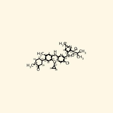 Cc1cc(Nc2ncc(Cl)c(Nc3cn(C)nc3S(=O)(=O)C(C)C)n2)c(OC2CC2)cc1C1CCN(C)C(=O)C1